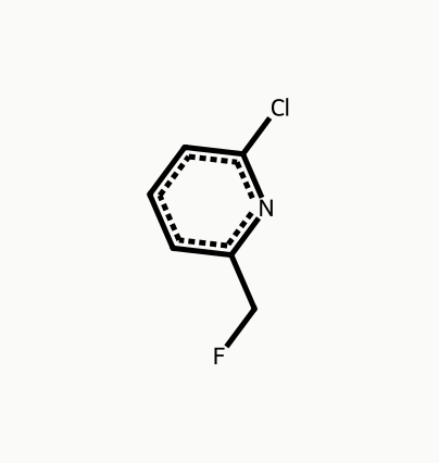 FCc1cccc(Cl)n1